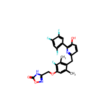 Cc1cc(OCc2noc(=O)[nH]2)c(F)c(C)c1Cc1ccc(O)c(-c2cc(F)c(F)cc2F)n1